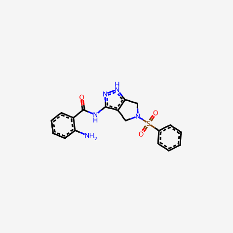 Nc1ccccc1C(=O)Nc1n[nH]c2c1CN(S(=O)(=O)c1ccccc1)C2